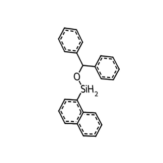 c1ccc(C(O[SiH2]c2cccc3ccccc23)c2ccccc2)cc1